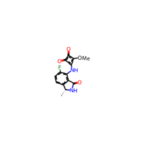 COc1c(Nc2c(F)ccc3c2C(=O)N[C@@H]3C)c(=O)c1=O